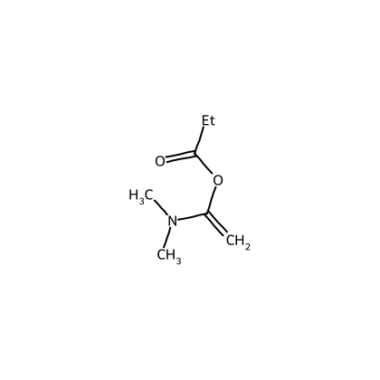 C=C(OC(=O)CC)N(C)C